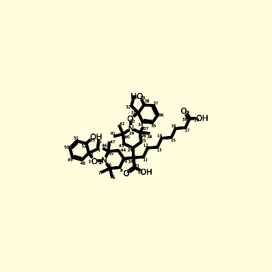 CCC1(ON2C(C)(C)CC(C(CCCCCCCC(=O)O)(C(=O)O)C3CC(C)(C)N(OC4(CC)C=CC=CC4O)C(C)(C)C3)CC2(C)C)C=CC=CC1O